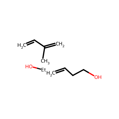 C=CC(=C)C.C=CCCO.CCO